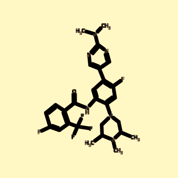 CC1CN(c2cc(F)c(-c3cnc(N(C)C)nc3)cc2NC(=O)c2ccc(F)cc2C(F)(F)F)CC(C)N1C